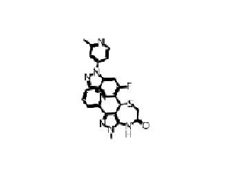 Cc1cc(-n2ncc3cc(C4SCC(=O)Nc5c4c(-c4ccccn4)nn5C)c(F)cc32)ccn1